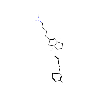 Cc1cccc(CC/C=C/[C@@H]2[C@H]3CC(CCCCN(C(C)C)C(C)C)=C[C@H]3C[C@H]2O)c1